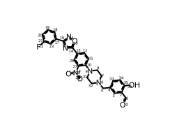 O=Cc1cc(CN2CCN(c3ccc(-c4nc(-c5cccc(F)c5)no4)cc3[N+](=O)[O-])CC2)ccc1O